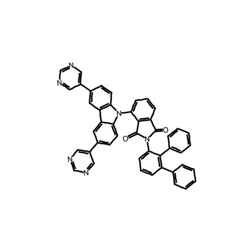 O=C1c2cccc(-n3c4ccc(-c5cncnc5)cc4c4cc(-c5cncnc5)ccc43)c2C(=O)N1c1cccc(-c2ccccc2)c1-c1ccccc1